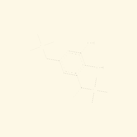 CC(c1cc(C[Si](C)(C)C)cc(O)c1O)[Si](C)(C)C